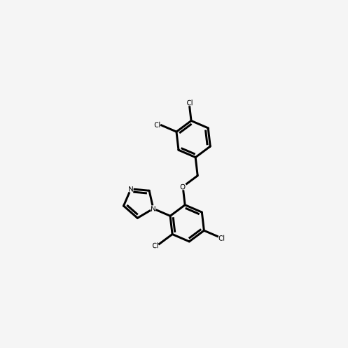 Clc1cc(Cl)c(-n2ccnc2)c(OCc2ccc(Cl)c(Cl)c2)c1